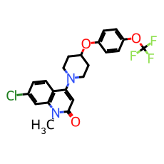 Cn1c(=O)cc(N2CCC(Oc3ccc(OC(F)(F)F)cc3)CC2)c2ccc(Cl)cc21